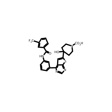 O=C(Nc1cccc(-c2ncnc3sc(C4(O)CCN(C(=O)O)CC4)cc23)c1)c1cccc(C(F)(F)F)c1